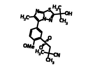 COc1ccc(-c2c(C)nc3sc(C(C)(C)O)nn23)cc1S(=O)(=O)CC(C)(C)C#N